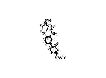 COc1ccc(-c2cnc3c(c2)NC(=O)[C@]2(CCN(C#N)C2)O3)c(C)n1